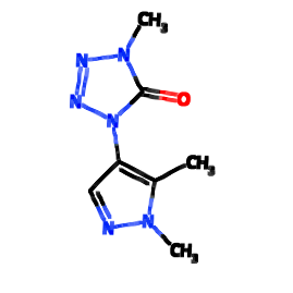 Cc1c(-n2nnn(C)c2=O)cnn1C